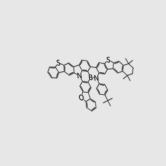 CC(C)(C)c1ccc(N2B3c4cc5c(cc4-n4c6cc7c(cc6c6ccc(c3c64)-c3cc4sc6cc8c(cc6c4cc32)C(C)(C)CCC8(C)C)sc2ccccc27)oc2ccccc25)cc1